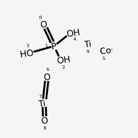 O=P(O)(O)O.[Co].[O]=[Ti]=[O].[Ti]